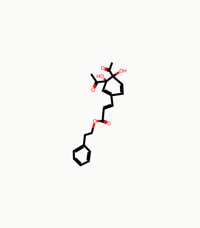 CC(=O)C1(O)C=CC(C=CC(=O)OCCc2ccccc2)=CC1(O)C(C)=O